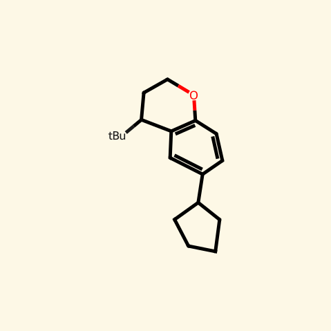 CC(C)(C)C1CCOc2ccc(C3CCCC3)cc21